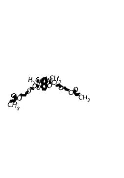 CC=CC(=O)OCCCOCCOC(=O)N(C)c1ccc(N(C)C(=O)OCCOCCCOC(=O)C=CC)c2ccccc12